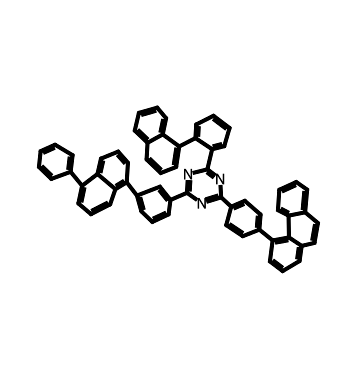 c1ccc(-c2cccc3c(-c4cccc(-c5nc(-c6ccc(-c7cccc8ccc9ccccc9c78)cc6)nc(-c6ccccc6-c6cccc7ccccc67)n5)c4)cccc23)cc1